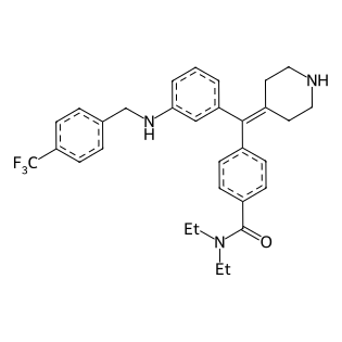 CCN(CC)C(=O)c1ccc(C(=C2CCNCC2)c2cccc(NCc3ccc(C(F)(F)F)cc3)c2)cc1